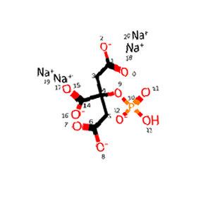 O=C([O-])CC(CC(=O)[O-])(OP(=O)([O-])O)C(=O)[O-].[Na+].[Na+].[Na+].[Na+]